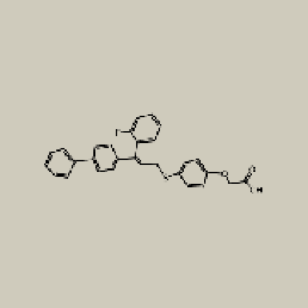 O=C(O)COc1ccc(SCC=C(c2ccc(-c3ccccc3)cc2)c2ccccc2F)cc1